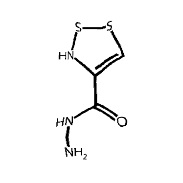 NNC(=O)C1=CSSN1